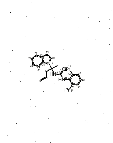 C=CCC(C)(NC(=O)Nc1c(C(C)C)cccc1C(C)C)n1ccc2cccnc21